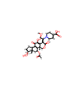 COCC(=C1C(=O)OCC2(C)C1=C(O)C(=O)C1=C2C(OC(C)=O)CC2(C)C(O)CCC12)N1CCC(C(=O)O)CC1